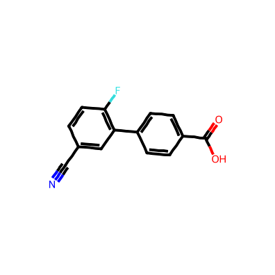 N#Cc1ccc(F)c(-c2ccc(C(=O)O)cc2)c1